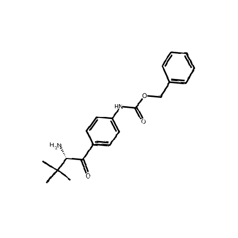 CC(C)(C)[C@H](N)C(=O)c1ccc(NC(=O)OCc2ccccc2)cc1